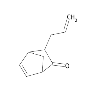 C=CCC1C(=O)C2C=CC1C2